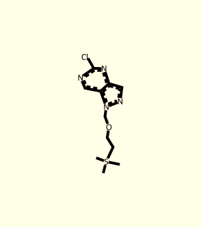 CS(C)(C)CCOCn1ncc2nc(Cl)ncc21